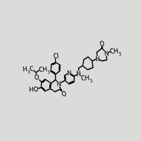 CC(C)Oc1cc2c(cc1O)CC(=O)N(c1ccc(N(C)CC3CCC(N4CCN(C)C(=O)C4)CC3)nc1)C2c1ccc(Cl)cc1